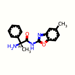 Cc1ccc2oc(NC(=O)[C@](C)(N)c3ccccc3)nc2c1